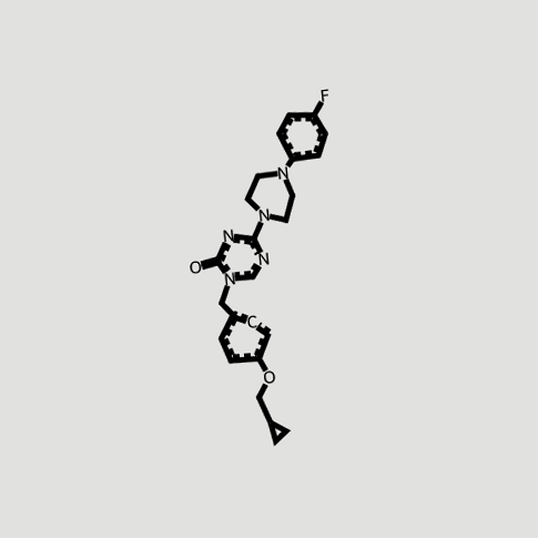 O=c1nc(N2CCN(c3ccc(F)cc3)CC2)ncn1Cc1ccc(OCC2CC2)cc1